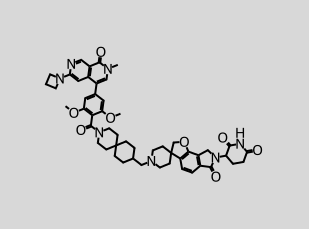 COc1cc(-c2cn(C)c(=O)c3cnc(N4CCC4)cc23)cc(OC)c1C(=O)N1CCC2(CCC(CN3CCC4(CC3)COc3c4ccc4c3CN(C3CCC(=O)NC3=O)C4=O)CC2)CC1